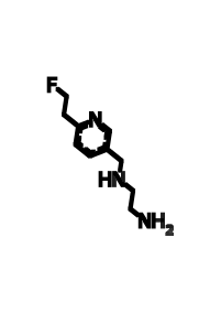 NCCNCc1ccc(CCF)nc1